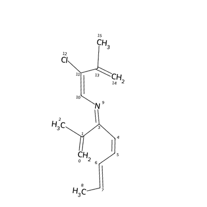 C=C(C)C(/C=C\C=C\C)=N\C=C(\Cl)C(=C)C